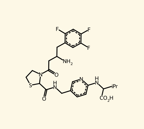 CC(C)C(Nc1ccc(CNC(=O)C2SCCN2C(=O)CC(N)Cc2cc(F)c(F)cc2F)cn1)C(=O)O